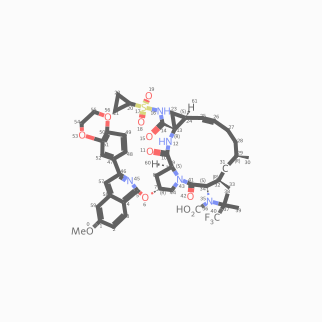 COc1ccc2c(O[C@@H]3C[C@H]4C(=O)N[C@]5(C(=O)NS(=O)(=O)C6CC6)C[C@H]5C=CCC[C@@H](C)C[C@@H](C)[C@H](N(C(=O)O)C(C)(C)C(F)(F)F)C(=O)N4C3)nc(-c3ccc4c(c3)OCCO4)cc2c1